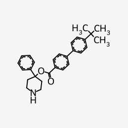 CC(C)(C)c1ccc(-c2ccc(C(=O)OC3(c4ccccc4)CCNCC3)cc2)cc1